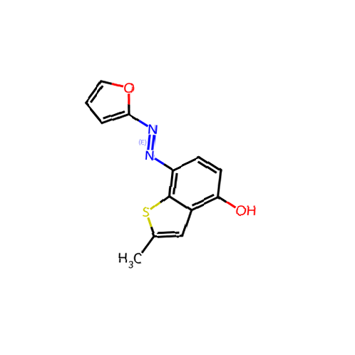 Cc1cc2c(O)ccc(/N=N/c3ccco3)c2s1